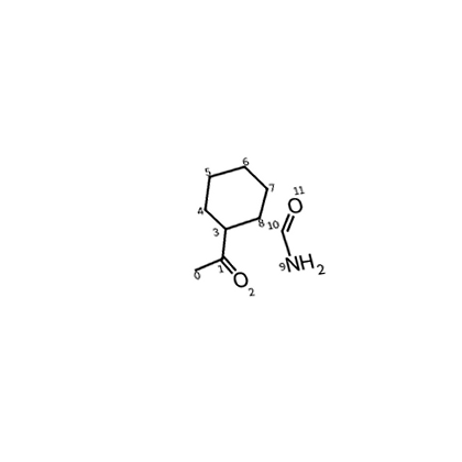 CC(=O)C1CCCCC1.NC=O